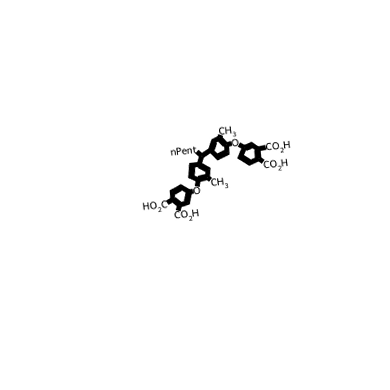 CCCCCC(c1ccc(Oc2ccc(C(=O)O)c(C(=O)O)c2)c(C)c1)c1ccc(Oc2ccc(C(=O)O)c(C(=O)O)c2)c(C)c1